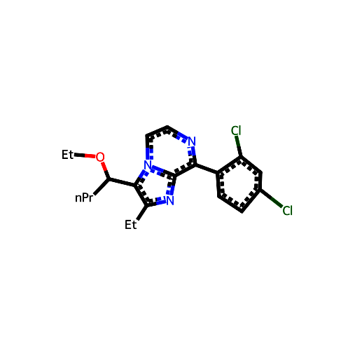 CCCC(OCC)c1c(CC)nc2c(-c3ccc(Cl)cc3Cl)nccn12